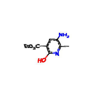 CCOC(=O)c1cc(N)c(C)nc1O